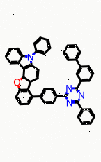 C1=CC2c3c(cccc3-c3ccc(-c4nc(-c5ccccc5)nc(-c5cccc(-c6ccccc6)c5)n4)cc3)OC2c2c1n(-c1ccccc1)c1ccccc21